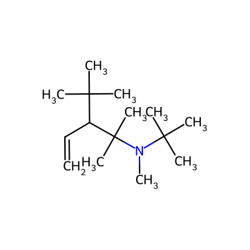 C=CC(C(C)(C)C)C(C)(C)N(C)C(C)(C)C